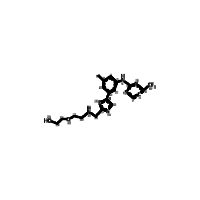 Cc1cc(Nc2nccc(C(F)(F)F)n2)cc(-c2cnc(CNCCOCCO)s2)c1